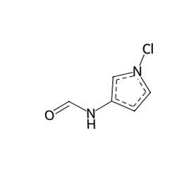 O=CNc1ccn(Cl)c1